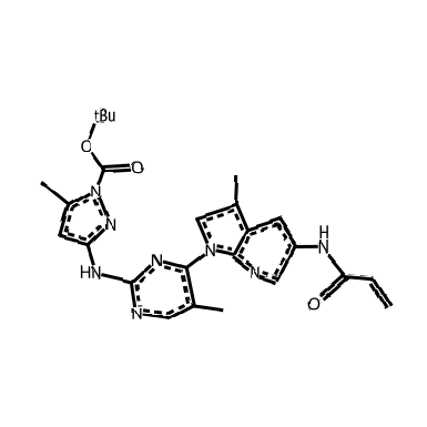 C=CC(=O)Nc1cnc2c(c1)c(C)cn2-c1nc(Nc2cc(C)n(C(=O)OC(C)(C)C)n2)ncc1C